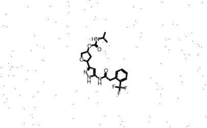 CC(C)NC(=O)OC1COC(c2cc(NC(=O)Cc3ccccc3C(F)(F)F)[nH]n2)C1